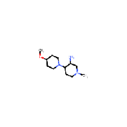 COC1CCN(C2CCN(C)CC2N)CC1